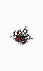 CC1CCC(C(C)C)C(c2cccc(C3CC(C)CCC3C(C)C)c2OP(=O)(Oc2c(C3CC(C)CCC3C(C)C)cccc2C2CC(C)CCC2C(C)C)Oc2c(C3CC(C)CCC3C(C)C)cccc2C2CC(C)CCC2C(C)C)C1